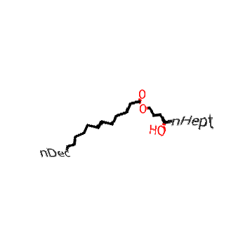 CCCCCCCCCCCCCCCCCCCCCC(=O)OCCCC(O)CCCCCCC